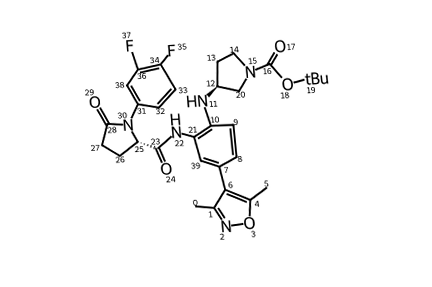 Cc1noc(C)c1-c1ccc(N[C@H]2CCN(C(=O)OC(C)(C)C)C2)c(NC(=O)[C@@H]2CCC(=O)N2c2ccc(F)c(F)c2)c1